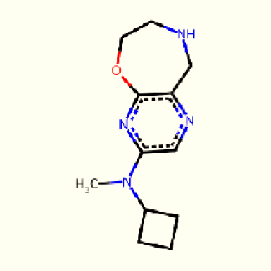 CN(c1cnc2c(n1)OCCNC2)C1CCC1